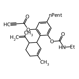 C#CC(=O)Oc1cc(CCCCC)cc(OC(=O)NCC)c1C1C=C(C)CCC1C(=C)C